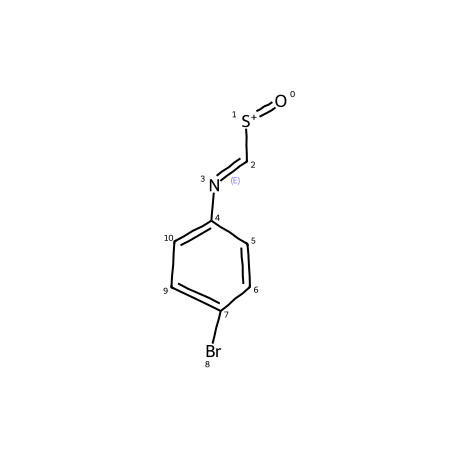 O=[S+]/C=N/c1ccc(Br)cc1